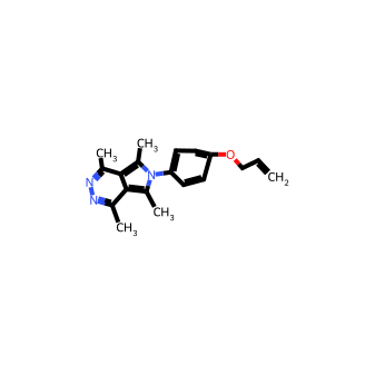 C=CCOc1ccc(-n2c(C)c3c(C)nnc(C)c3c2C)cc1